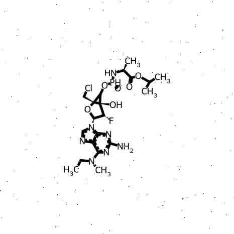 CCN(C)c1nc(N)nc2c1ncn2[C@@H]1O[C@]2(CCl)C(O[PH](=O)N[C@@H](C)C(=O)OC(C)C)[C@]2(O)[C@@H]1F